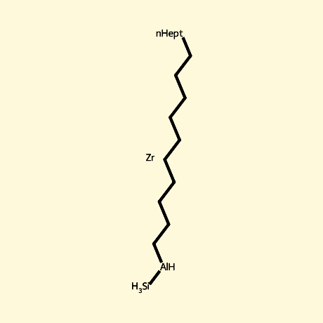 CCCCCCCCCCCCCCCC[CH2][AlH][SiH3].[Zr]